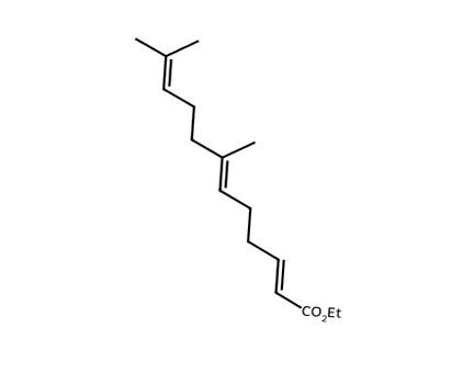 CCOC(=O)/C=C/CC/C=C(\C)CCC=C(C)C